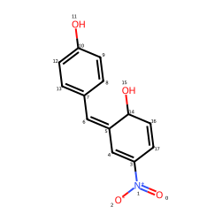 O=[N+]([O-])C1=CC(=Cc2ccc(O)cc2)C(O)C=C1